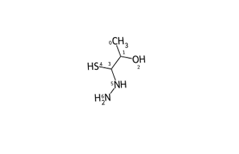 CC(O)C(S)NN